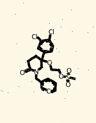 CS(=O)(=O)OCCOC1(c2ccc(Cl)c(Cl)c2)CCC(=O)N(Cc2ccccc2)C1